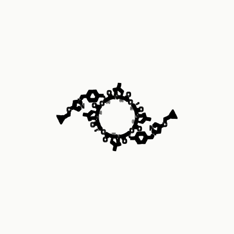 CC(C)C[C@H]1C(=O)O[C@H](Cc2ccc(Cn3cc(OCC4CC4)cn3)cc2)C(=O)N(C)[C@@H](CC(C)C)C(=O)O[C@H](C)C(=O)N(C)[C@@H](CC(C)C)C(=O)O[C@H](Cc2ccc(Cn3cc(OCC4CC4)cn3)cc2)C(=O)N(C)[C@@H](CC(C)C)C(=O)O[C@H](C)C(=O)N1C